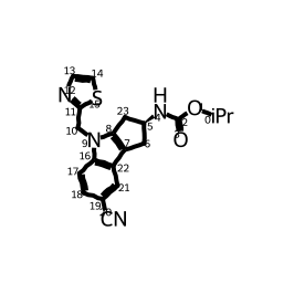 CC(C)OC(=O)N[C@H]1Cc2c(n(Cc3nccs3)c3ccc(C#N)cc23)C1